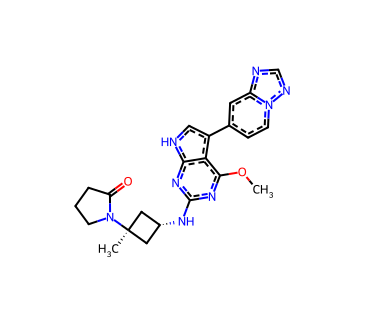 COc1nc(N[C@H]2C[C@](C)(N3CCCC3=O)C2)nc2[nH]cc(-c3ccn4ncnc4c3)c12